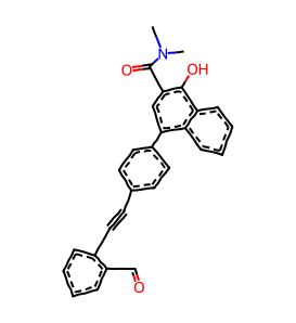 CN(C)C(=O)c1cc(-c2ccc(C#Cc3ccccc3C=O)cc2)c2ccccc2c1O